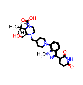 Cn1nc(C2CCC(=O)NC2=O)c2cccc(N3CCC(CN4CCN(C(=O)O)C(C(C)(C)C)[C@@H]4CO)CC3)c21